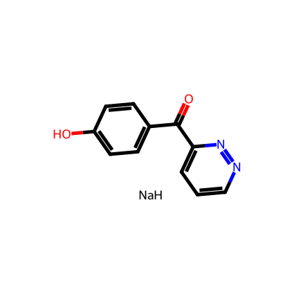 O=C(c1ccc(O)cc1)c1cccnn1.[NaH]